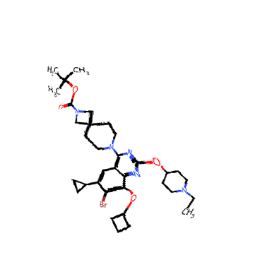 CCN1CCC(Oc2nc(N3CCC4(CC3)CN(C(=O)OC(C)(C)C)C4)c3cc(C4CC4)c(Br)c(OC4CCC4)c3n2)CC1